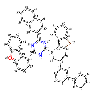 C1=C(c2cccc(-c3ccccc3)c2)CC(c2nc(-c3ccc4ccccc4c3)nc(-c3cccc4oc5ccccc5c34)n2)c2c1sc1ccccc21